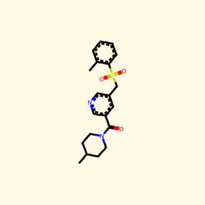 Cc1ccccc1S(=O)(=O)Cc1cncc(C(=O)N2CCC(C)CC2)c1